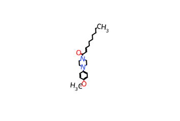 CCCCCCC/C=C/C(=O)N1CCN(c2ccc(OC)cc2)CC1